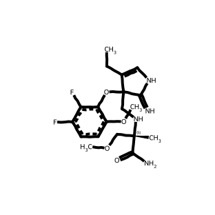 CCC1=CNC(=N)C1(CN[C@@](C)(COC)C(N)=O)Oc1c(OC)ccc(F)c1F